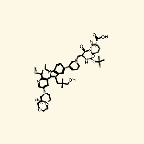 CCn1c(-c2cc(N3CCN4CCOC[C@@H]4C3)cnc2C(C)OC)c(CC(C)(C)CO)c2cc(C3=CCCN(CC(NC(=O)OC(C)(C)C)C(=O)N4CCC[C@@H](C(=O)O)N4)C3)ccc21